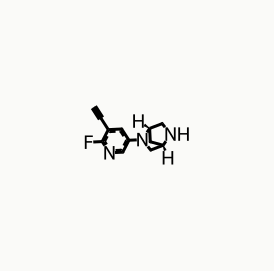 C#Cc1cc(N2C[C@@H]3C[C@H]2CN3)cnc1F